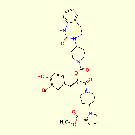 COC(=O)[C@H]1CCCN1C1CCN(C(=O)[C@@H](Cc2ccc(O)c(Br)c2)OC(=O)N2CCC(N3CCc4ccccc4NC3=O)CC2)CC1